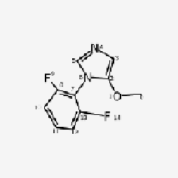 COc1cncn1-c1c(F)cccc1F